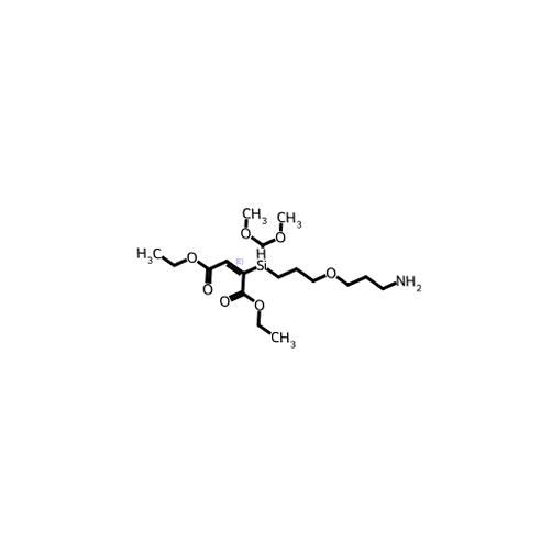 CCOC(=O)/C=C(\C(=O)OCC)[SiH](CCCOCCCN)C(OC)OC